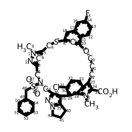 Cn1nc2cc1CSc1cc(c3ccc(F)cc3c1)OCCCc1c(C(=O)O)n(C)c3c(c(Cl)ccc13)-c1c(nn3c1CCC3)CN(S(=O)(=O)Cc1ccccc1)C2